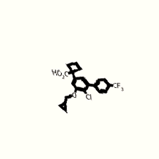 O=C(O)C1(c2cc(OCC3CC3)c(Cl)c(-c3ccc(C(F)(F)F)cc3)c2)CCC1